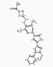 CCn1nc(-c2nc(-c3cc(C)c(CCN4CC(C(=O)O)C4)c(C)c3)no2)cc1-c1ccccc1